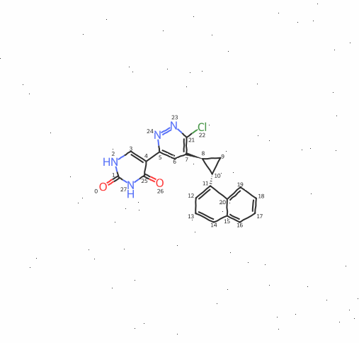 O=c1[nH]cc(-c2cc([C@H]3C[C@@H]3c3cccc4ccccc34)c(Cl)nn2)c(=O)[nH]1